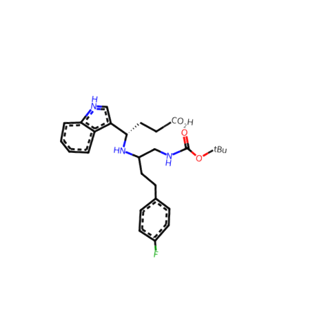 CC(C)(C)OC(=O)NCC(CCc1ccc(F)cc1)N[C@@H](CCC(=O)O)c1c[nH]c2ccccc12